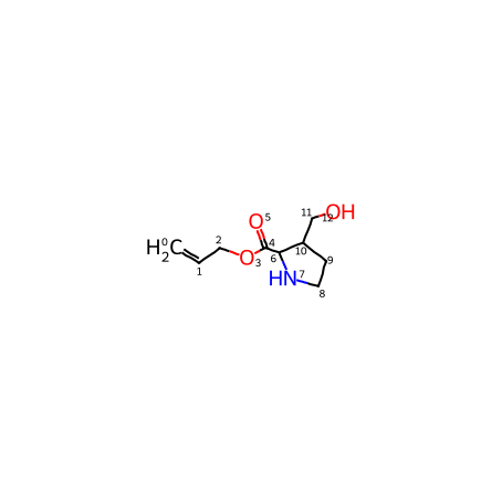 C=CCOC(=O)C1NCCC1CO